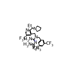 CCC(c1ncc(C(F)(F)F)cc1CN(Cc1cc(C(F)(F)F)cc(C(F)(F)F)c1)/C(N)=N/N(C)N)N1CCCC1